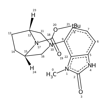 Cn1c(=O)[nH]c2cccc(N3C[C@H]4CC[C@@H](C3)N4C(=O)OC(C)(C)C)c21